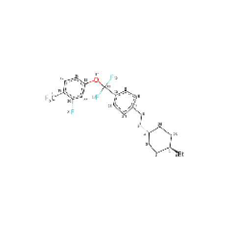 CC[C@H]1CC[C@H](CCc2ccc(C(F)(F)Oc3ccc(C(F)(F)F)c(F)c3)cc2)CC1